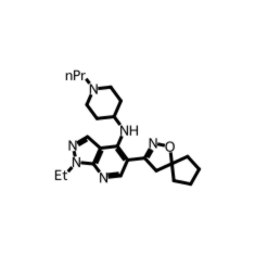 CCCN1CCC(Nc2c(C3=NOC4(CCCC4)C3)cnc3c2cnn3CC)CC1